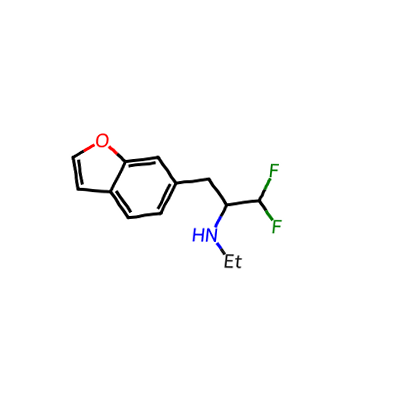 CCNC(Cc1ccc2ccoc2c1)C(F)F